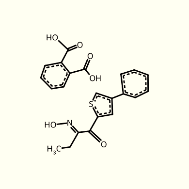 CCC(=NO)C(=O)c1cc(-c2ccccc2)cs1.O=C(O)c1ccccc1C(=O)O